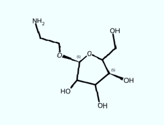 NCCO[C@H]1OC(CO)[C@@H](O)C(O)C1O